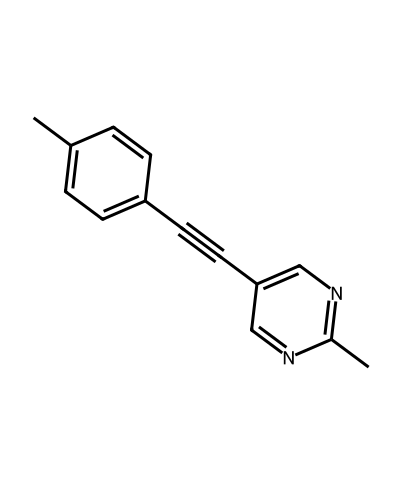 Cc1ccc(C#Cc2cnc(C)nc2)cc1